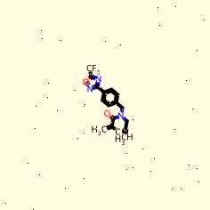 C#CCN(Cc1ccc(-c2noc(C(F)(F)F)n2)cc1)C(=O)C(=C)C